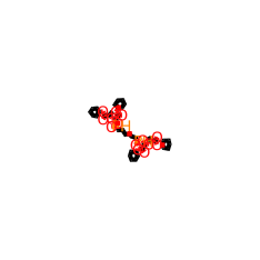 CC(OC(O[PH](=O)CCCCCC[PH](=O)OC(OC(C)C(=O)OC1CCCCC1)C(=O)OC1CCCCC1)C(=O)OC1CCCCC1)C(=O)OC1CCCCC1